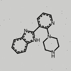 c1cnc(N2CCNCC2)c(-c2nc3ccccc3[nH]2)c1